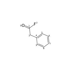 O=C(F)Cc1ccccc1